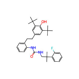 CC(C)(C)c1cc(CCc2ccccc2NC(=O)NCC(C)(C)c2ccccc2F)cc(C(C)(C)C)c1O